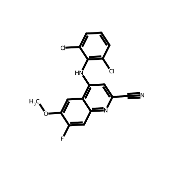 COc1cc2c(Nc3c(Cl)cccc3Cl)cc(C#N)nc2cc1F